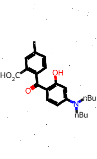 CCCCN(CCCC)c1ccc(C(=O)c2ccc(C)cc2C(=O)O)c(O)c1